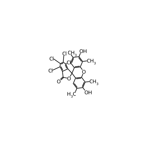 Cc1cc2c(c(C)c1O)Oc1c(cc(C)c(O)c1C)C21OC(=O)c2c(Cl)c(Cl)c(Cl)c(Cl)c21